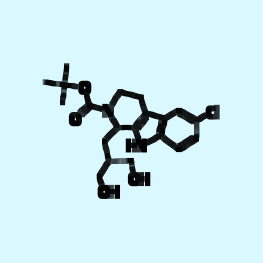 CC(C)(C)OC(=O)N1CCc2c([nH]c3ccc(Cl)cc23)C1CC(CO)CO